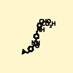 O=CC1(C(=O)O)CCC(NCc2ccc(-c3noc(-c4ccc(CC5CC5)cc4)n3)cc2)C1